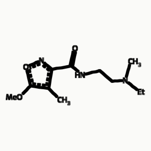 CCN(C)CCNC(=O)c1noc(OC)c1C